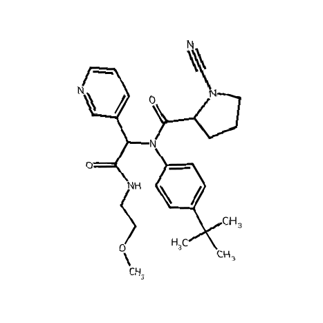 COCCNC(=O)C(c1cccnc1)N(C(=O)C1CCCN1C#N)c1ccc(C(C)(C)C)cc1